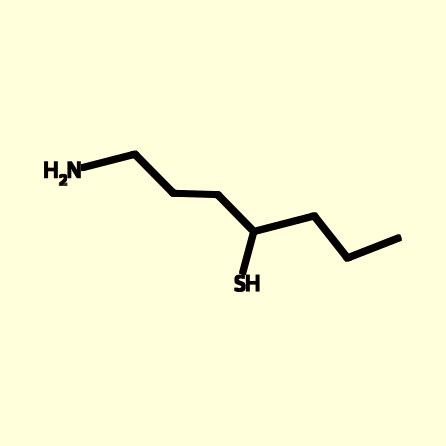 CCCC(S)CCCN